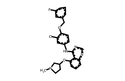 CN1CCC(Oc2cccc3ncnc(Nc4ccc(OCc5cccc(F)c5)c(Cl)c4)c23)C1